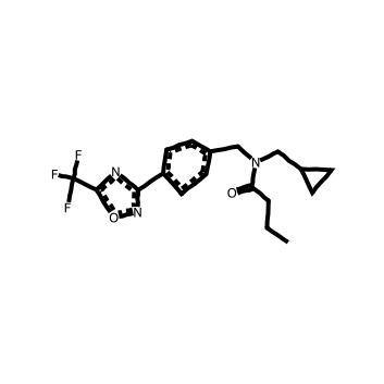 CCCC(=O)N(Cc1ccc(-c2noc(C(F)(F)F)n2)cc1)CC1CC1